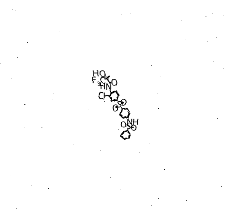 C[C@@](O)(C(=O)Nc1ccc(S(=O)(=O)c2ccc(NS(=O)(=O)c3ccccc3)cc2)cc1Cl)C(F)(F)F